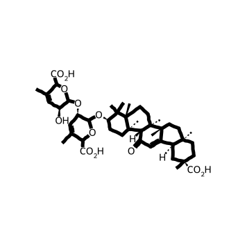 CC1=C[C@H](OC2OC(C(=O)O)C(C)=C[C@@H]2O)C(O[C@H]2CC[C@]3(C)[C@H]4C(=O)C=C5[C@@H]6C[C@@](C)(C(=O)O)CC[C@]6(C)CC[C@@]5(C)[C@]4(C)CC[C@@]3(C)C2(C)C)OC1C(=O)O